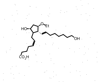 CCO[C@@H]1C[C@H](O)C(C/C=C\CCCC(=O)O)[C@H]1/C=C/CCCCCCO